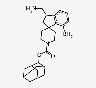 Bc1cccc2c1C1(CCN(C(=O)OC3C4CC5CC(C4)CC3C5)CC1)CC2CN